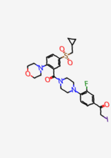 O=C(CI)c1ccc(N2CCN(C(=O)c3cc(S(=O)(=O)CC4CC4)ccc3N3CCOCC3)CC2)c(F)c1